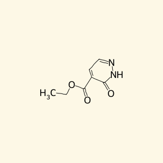 CCOC(=O)c1ccn[nH]c1=O